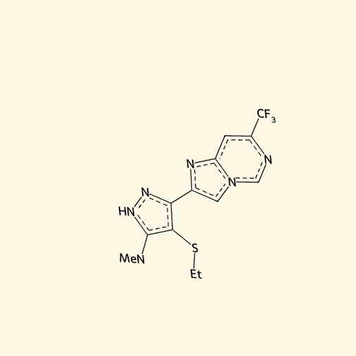 CCSc1c(-c2cn3cnc(C(F)(F)F)cc3n2)n[nH]c1NC